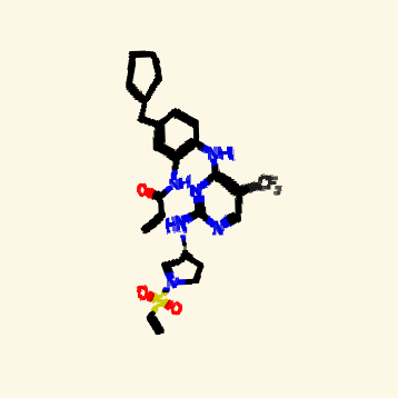 C=CC(=O)Nc1cc(CC2CCCC2)ccc1Nc1nc(N[C@@H]2CCN(S(=O)(=O)C=C)C2)ncc1C(F)(F)F